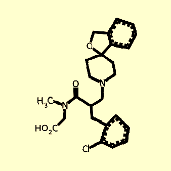 CN(CC(=O)O)C(=O)C(Cc1ccccc1Cl)CN1CCC2(CC1)OCc1ccccc12